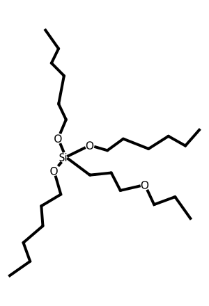 CCCCCCO[Si](CCCOCCC)(OCCCCCC)OCCCCCC